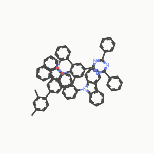 Cc1ccc(-c2ccc3c(c2)c2ccccc2n3-c2c(-c3ccccc3-n3c4ccccc4c4ccccc43)cc(-c3nc(-c4ccccc4)nc(-c4ccccc4)n3)cc2-c2ccccc2-n2c3ccccc3c3ccccc32)c(C)c1